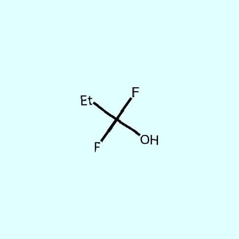 CCC(O)(F)F